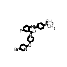 CN(C)c1ccc(CNc2ccc(F)cc2C(=O)N2CCC(Oc3ccc(Br)cn3)CC2)cc1